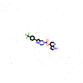 O=C(Oc1ccnc2[nH]ccc12)N1CCn2nc(-c3ccc(C(F)(F)F)cc3)cc2C1